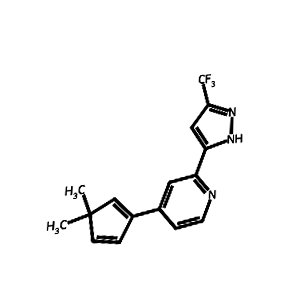 CC1(C)C=CC(c2ccnc(-c3cc(C(F)(F)F)n[nH]3)c2)=C1